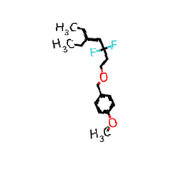 CCC(=CC(F)(F)CCOCc1ccc(OC)cc1)CC